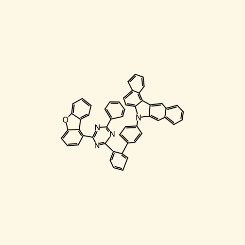 c1ccc(-c2nc(-c3ccccc3-c3ccc(-n4c5cc6ccccc6cc5c5c6ccccc6ccc54)cc3)nc(-c3cccc4oc5ccccc5c34)n2)cc1